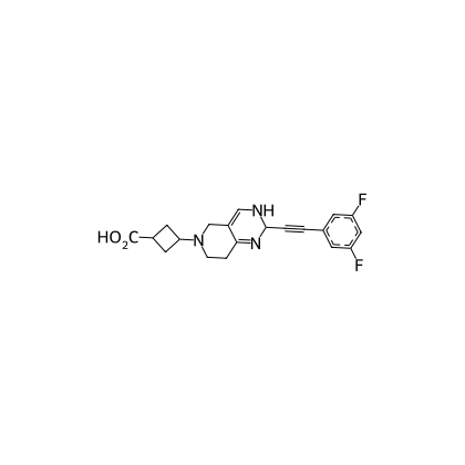 O=C(O)C1CC(N2CCC3=NC(C#Cc4cc(F)cc(F)c4)NC=C3C2)C1